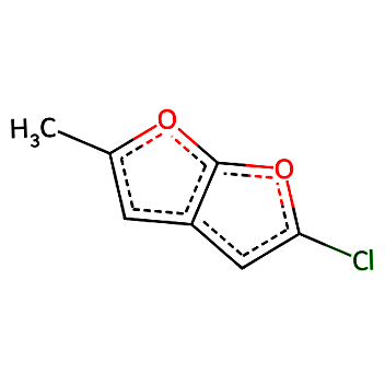 Cc1cc2cc(Cl)oc2o1